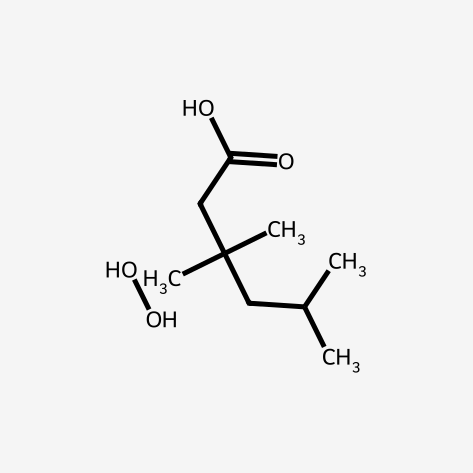 CC(C)CC(C)(C)CC(=O)O.OO